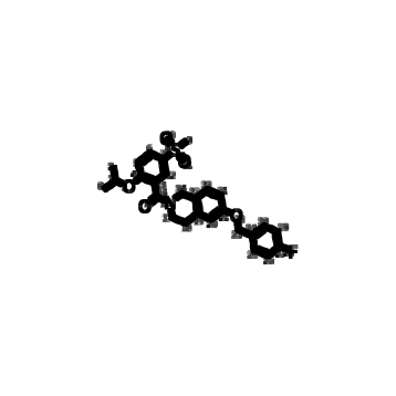 CC(C)Oc1ccc(S(C)(=O)=O)cc1C(=O)N1CCc2cc(OCc3ccc(F)cc3)ccc2C1